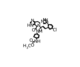 COC(=O)Nc1ccc(NC(=O)C2c3[nH]cnc3CCN2C(=O)C=Cc2cc(Cl)ccc2-n2cnnn2)cc1